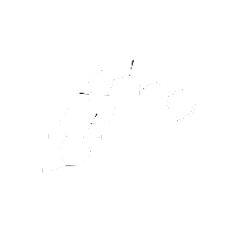 C[C@@H](NCc1cccnc1)C1CC[C@H]2[C@@H]3CC[C@@H]4C[C@](C)(O)CC[C@@H]4[C@H]3CC[C@]12C